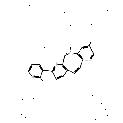 CC(=O)c1ccccc1-c1ccc2c(n1)CN(C(C)=O)c1cc(Cl)ccc1/C=C\2